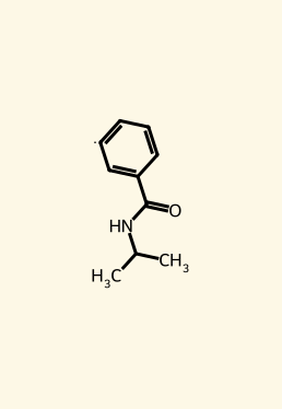 CC(C)NC(=O)c1c[c]ccc1